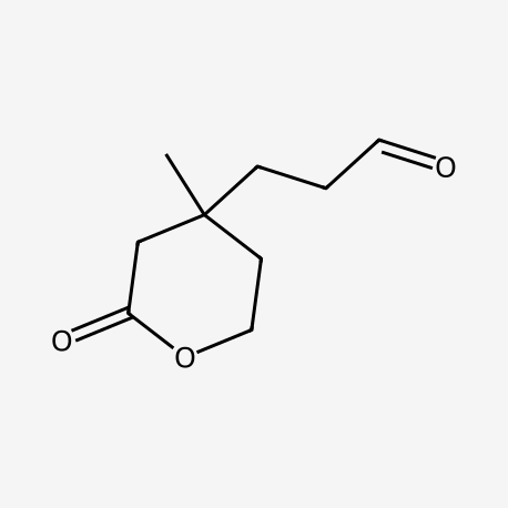 CC1(CCC=O)CCOC(=O)C1